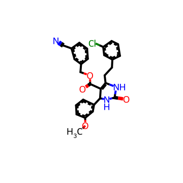 COc1cccc(C2NC(=O)NC(CCc3cccc(Cl)c3)=C2C(=O)OCc2cccc(C#N)c2)c1